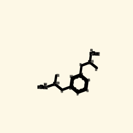 CCCCCCCCCCN(C)Cc1cccc(CN(C)CCCCCCCCCC)c1